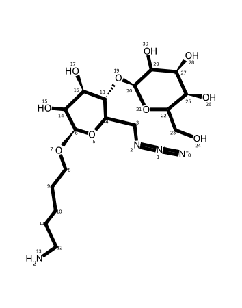 [N-]=[N+]=NCC1O[C@@H](OCCCCCN)C(O)[C@@H](O)[C@@H]1O[C@@H]1OC(CO)[C@H](O)[C@H](O)C1O